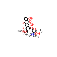 COC(=O)[C@@H]1c2cc3c(c(O)c2[C@@H](O[C@H]2C[C@H](N(C)C)[C@H](O)[C@H](C)O2)C[C@]1(O)CC(C)=O)C(=O)c1c(O)cccc1C3=O